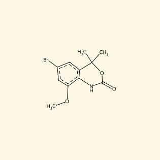 COc1cc(Br)cc2c1NC(=O)OC2(C)C